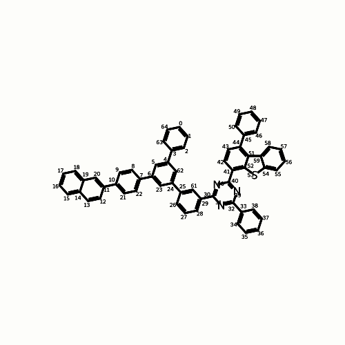 c1ccc(-c2cc(-c3ccc(-c4ccc5ccccc5c4)cc3)cc(-c3cccc(-c4nc(-c5ccccc5)nc(-c5ccc(-c6ccccc6)c6c5sc5ccccc56)n4)c3)c2)cc1